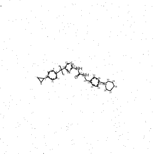 CC(C)(c1ccc(C2CC2)cc1)c1csc(NC(=O)NCc2ccc(N3CCCCC3)cc2)n1